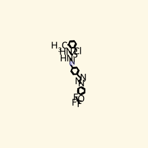 Cc1cccc(Cl)c1NC(=S)N/N=C/c1ccc(-c2ncn(-c3ccc(OC(F)(F)F)cc3)n2)cc1